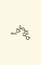 CSc1cnc(N[C@H]2C=C[C@H](Nc3cccn(-c4cccnc4)c3=O)C2)nc1